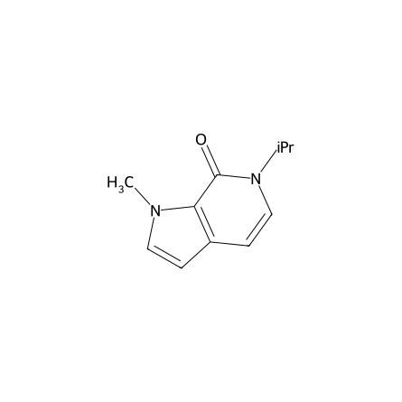 CC(C)n1ccc2ccn(C)c2c1=O